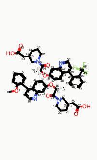 COc1ccccc1-c1ccnc2cc(O[C@H](C)C(=O)N3CCC[C@H](CC(=O)O)C3)ccc12.C[C@@H](Oc1ccc2c(-c3ccccc3C(F)(F)F)ccnc2c1)C(=O)N1CCC[C@H](CC(=O)O)C1